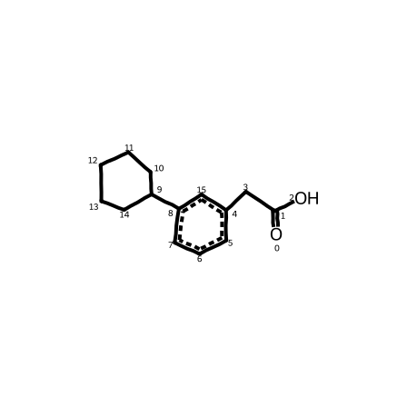 O=C(O)Cc1cccc(C2CCCCC2)c1